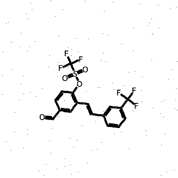 O=Cc1ccc(OS(=O)(=O)C(F)(F)F)c(C=Cc2cccc(C(F)(F)F)c2)c1